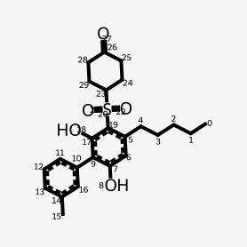 CCCCCc1cc(O)c(-c2cccc(C)c2)c(O)c1S(=O)(=O)C1CCC(=O)CC1